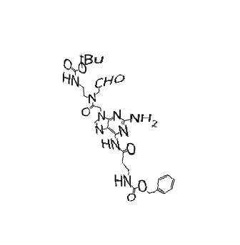 CC(C)(C)OC(=O)NCCN(CC=O)C(=O)Cn1cnc2c(NC(=O)CCNC(=O)OCc3ccccc3)nc(N)nc21